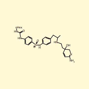 CCCCCCNC(=O)Nc1ccc(S(=O)(=O)Nc2ccc(CC(C)NCCC3(O)C=CC(N)=NC3)cc2)cc1